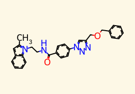 Cc1cc2ccccc2n1CCNC(=O)c1ccc(-n2cc(COCc3ccccc3)nn2)cc1